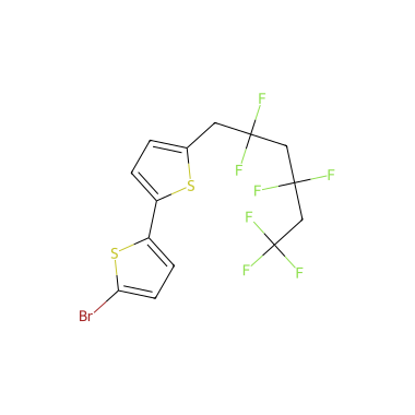 FC(F)(F)CC(F)(F)CC(F)(F)Cc1ccc(-c2ccc(Br)s2)s1